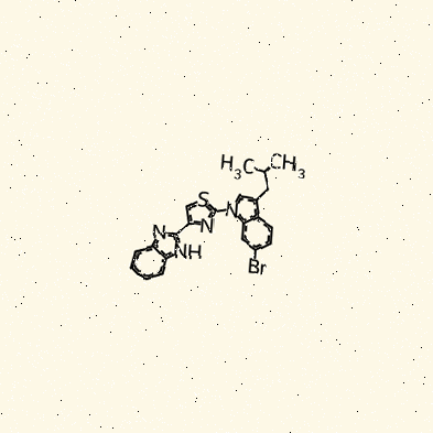 CC(C)Cc1cn(-c2nc(-c3nc4ccccc4[nH]3)cs2)c2cc(Br)ccc12